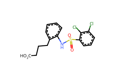 O=C(O)CCCc1ccccc1NS(=O)(=O)c1cccc(Cl)c1Cl